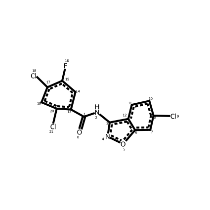 O=C(Nc1noc2cc(Cl)ccc12)c1cc(F)c(Cl)cc1Cl